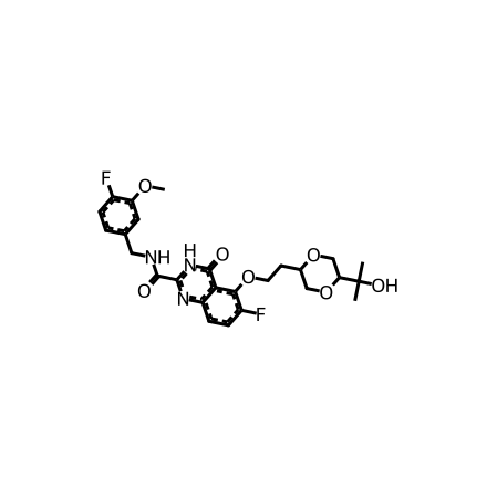 COc1cc(CNC(=O)c2nc3ccc(F)c(OCCC4COC(C(C)(C)O)CO4)c3c(=O)[nH]2)ccc1F